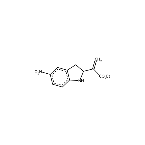 C=C(C(=O)OCC)C1Cc2cc([N+](=O)[O-])ccc2N1